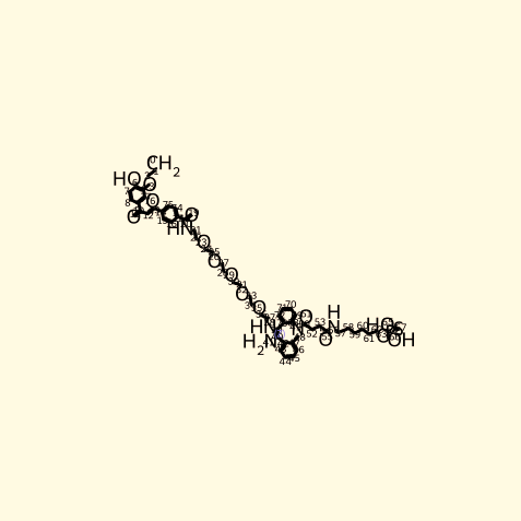 C=CCOc1c(O)ccc2c(=O)cc(-c3ccc(C(=O)NCCOCCOCCOCCOCCOCCN/C4=C(\N)c5ccccc5CN(C(=O)CCC(=O)NCCCCCCOP(O)(O)=S)c5ccccc54)cc3)oc12